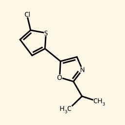 CC(C)c1ncc(-c2ccc(Cl)s2)o1